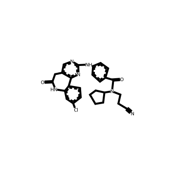 N#CCCN(C(=O)c1ccc(Nc2ncc3c(n2)-c2ccc(Cl)cc2NC(=O)C3)cc1)C1CCCC1